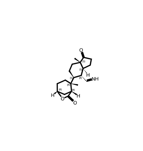 C[C@]1([C@H]2CC[C@]3(C)C(=O)CC[C@H]3[C@@H]2C=N)CC[C@@H]2C[C@H]1C(=O)O2